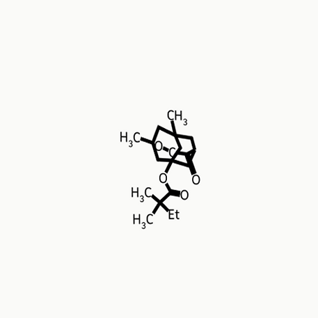 CCC(C)(C)C(=O)OC12CC3CC(C)(CC(C)(C1)OCC3=O)C2